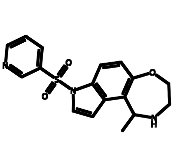 CC1NCCOc2ccc3c(ccn3S(=O)(=O)c3cccnc3)c21